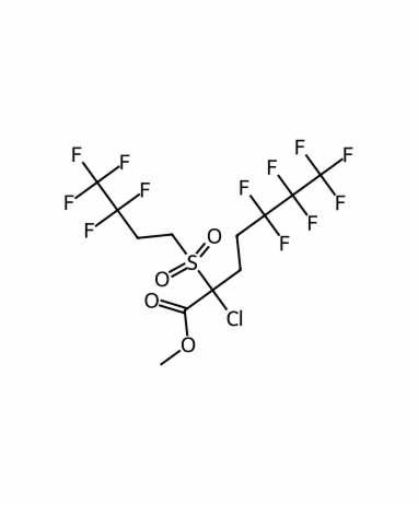 COC(=O)C(Cl)(CCC(F)(F)C(F)(F)C(F)(F)F)S(=O)(=O)CCC(F)(F)C(F)(F)F